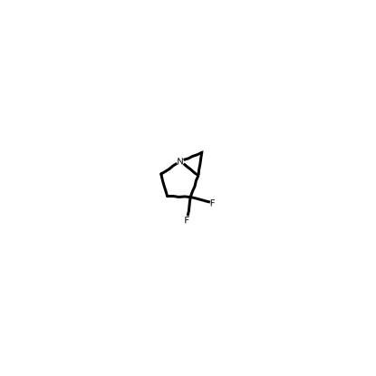 FC1(F)CCN2CC21